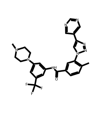 Cc1ccc(C(=O)Nc2cc(N3CCN(C)CC3)cc(C(F)(F)F)c2)cc1-n1cc(-c2cncnc2)nn1